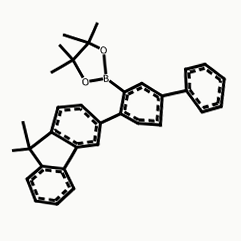 CC1(C)c2ccccc2-c2cc(-c3ccc(-c4ccccc4)cc3B3OC(C)(C)C(C)(C)O3)ccc21